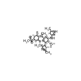 Cc1cc(Nc2nc(N(C)c3c(F)cc(S(C)(=O)=O)cc3F)nc(-c3cn(C)nc3C)c2C2CC2)n[nH]1